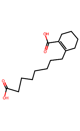 O=C(O)CCCCCCCC1=C(C(=O)O)CCCC1